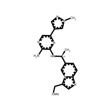 COCc1cnc2ccc([C@H](C)Nc3nc(-c4cnn(C)c4)cnc3N)cn12